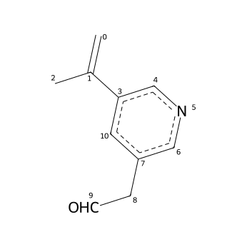 C=C(C)c1cncc(CC=O)c1